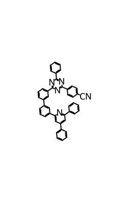 N#Cc1ccc(-c2nc(-c3ccccc3)nc(-c3cccc(-c4cccc(-c5cc(-c6ccccc6)cc(-c6ccccc6)n5)c4)c3)n2)cc1